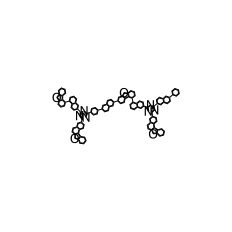 c1ccc(-c2ccc3cc(-c4nc(-c5ccc6c(-c7cccc8oc9cc(-c%10ccc%11cc(-c%12ccc(-c%13nc(-c%14ccc%15c(-c%16cccc%17oc%18ccccc%18c%16%17)cccc%15c%14)nc(-c%14ccc%15c(ccc%16oc%17ccccc%17c%16%15)c%14)n%13)cc%12)ccc%11c%10)ccc9c78)cccc6c5)nc(-c5ccc6c(ccc7oc8ccccc8c76)c5)n4)ccc3c2)cc1